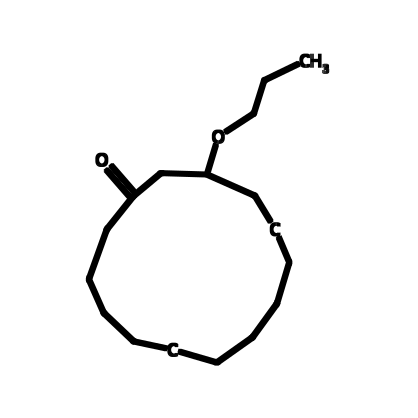 CCCOC1CCCCCCCCCCCC(=O)C1